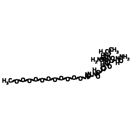 CCCOCCOCCOCCOCCOCCOCCOCCOCCOCCOCCOCCn1cc(CNC(=O)OCc2ccc(NC(=O)[C@H](CCCNC(N)=O)NC(=O)[C@H](CC(C)C)NC(=O)CON)cc2)nn1